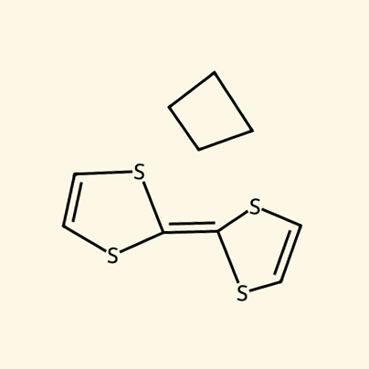 C1=CSC(=C2SC=CS2)S1.C1CCC1